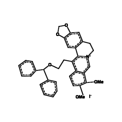 COc1ccc2c(CCOC(c3ccccc3)c3ccccc3)c3[n+](cc2c1OC)CCc1cc2c(cc1-3)OCO2.[I-]